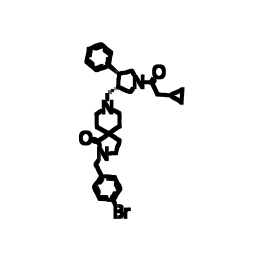 O=C(CC1CC1)N1C[C@H](CN2CCC3(CC2)CCN(Cc2ccc(Br)cc2)C3=O)[C@@H](c2ccccc2)C1